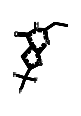 CCc1nc2sc(C(F)(F)F)cc2c(=O)[nH]1